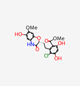 COC(=O)c1c(O)cc(O)c(Cl)c1CC[C@H]1Oc2cc(OC)c(O)cc2NC1=O